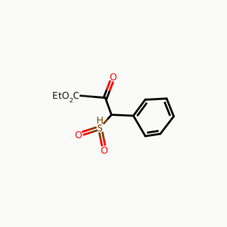 CCOC(=O)C(=O)C(c1ccccc1)[SH](=O)=O